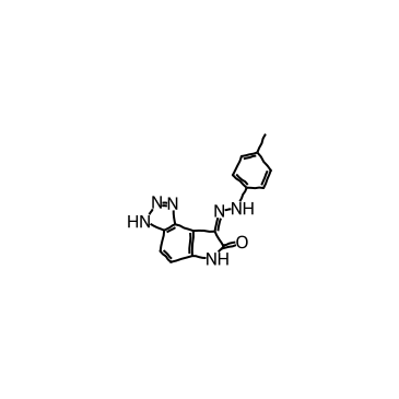 Cc1ccc(N/N=C2\C(=O)Nc3ccc4[nH]nnc4c32)cc1